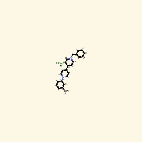 CCCc1cccc(-[n+]2ccc(-c3cc[n+](Cc4ccccc4)cc3)cc2)c1.[Cl-].[Cl-]